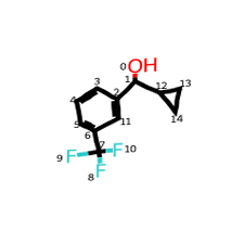 OC(c1cccc(C(F)(F)F)c1)C1CC1